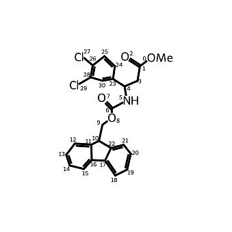 COC(=O)CC(NC(=O)OCC1c2ccccc2-c2ccccc21)c1ccc(Cl)c(Cl)c1